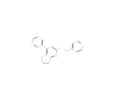 c1cc(COc2cc(-c3cncnc3)c3c(n2)CCC3)ccn1